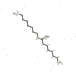 CCCCCCCCOC(O)CCCCCCC